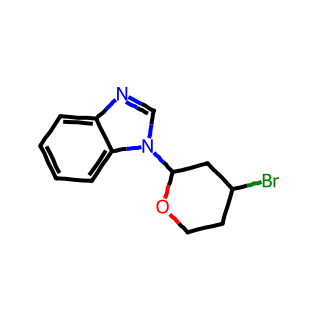 BrC1CCOC(n2cnc3ccccc32)C1